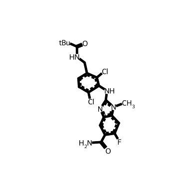 Cn1c(Nc2c(Cl)ccc(CNC(=O)C(C)(C)C)c2Cl)nc2cc(C(N)=O)c(F)cc21